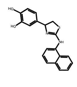 Oc1ccc(C2CSC(Nc3cccc4ccccc34)=N2)cc1O